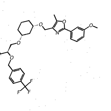 COc1cccc(-c2nc(CO[C@H]3CCC[C@@H](OC[C@@H](OCc4ccc(C(F)(F)F)cc4)C(=O)O)C3)c(C)o2)c1